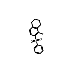 O=S(=O)(c1ccccc1)c1ccc2c(c1F)CCCC2